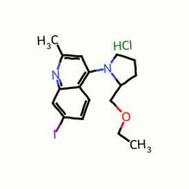 CCOCC1CCCN1c1cc(C)nc2cc(I)ccc12.Cl